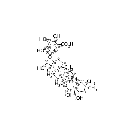 CC1(C)CC[C@]2(CO)[C@H](O)C[C@]3(C)C(=CCC4[C@@]5(C)CCC(O[C@@H]6O[C@H](C(=O)O)[C@@H](O)[C@H](O)[C@H]6O)C(C)(CO)C5CC[C@]43C)[C@H]2C1